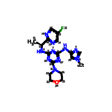 CCn1cnc(Nc2nc(N[C@@H](C)c3ncc(F)cn3)nc(N3CCOCC3)n2)c1